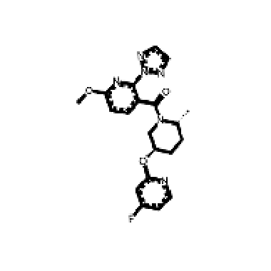 COc1ccc(C(=O)N2C[C@H](Oc3cc(F)ccn3)CC[C@H]2C)c(-n2nccn2)n1